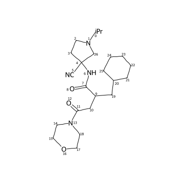 CC(C)N1CCC(C#N)(NC(=O)C(CC(=O)N2CCOCC2)CC2CCCCC2)C1